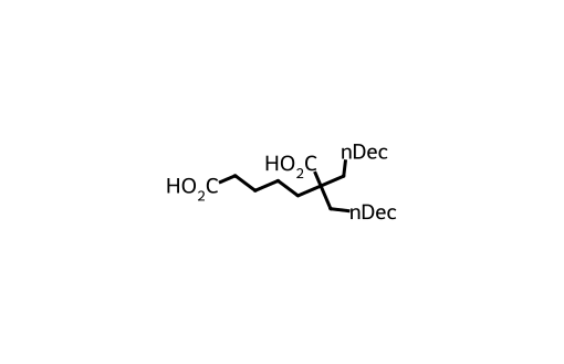 CCCCCCCCCCCC(CCCCCCCCCCC)(CCCCC(=O)O)C(=O)O